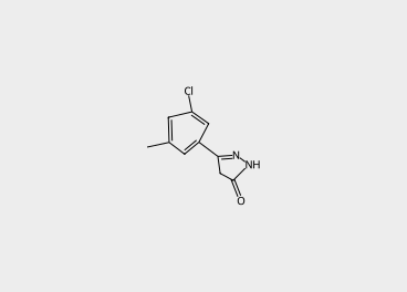 Cc1cc(Cl)cc(C2=NNC(=O)C2)c1